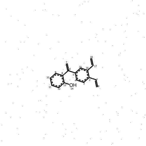 C=Cc1ccc(C(=C)c2ccccc2O)cc1C=C